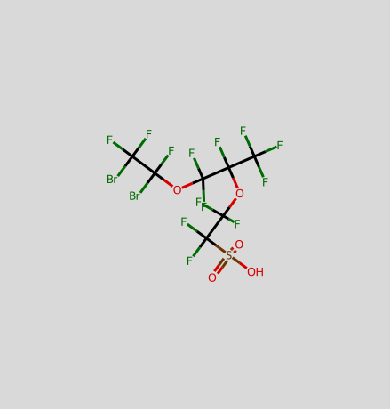 O=S(=O)(O)C(F)(F)C(F)(F)OC(F)(C(F)(F)F)C(F)(F)OC(F)(Br)C(F)(F)Br